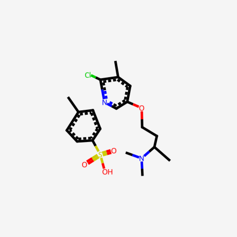 Cc1cc(OCCC(C)N(C)C)cnc1Cl.Cc1ccc(S(=O)(=O)O)cc1